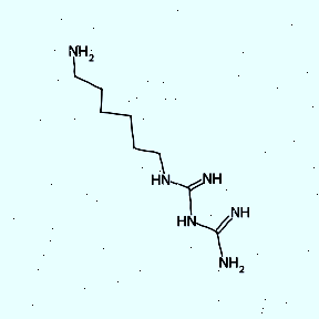 N=C(N)NC(=N)NCCCCCCN